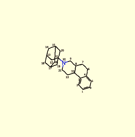 c1ccc2c(c1)CCC1CN(C34CC5CC(CC(C5)C3)C4)CCC21